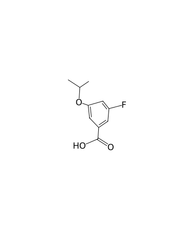 CC(C)Oc1cc(F)cc(C(=O)O)c1